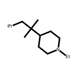 CCN1CCC(C(C)(C)CC(C)C)CC1